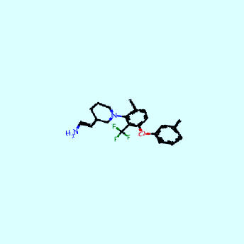 Cc1cccc(Oc2ccc(C)c(N3CCCC(/C=C/N)C3)c2C(F)(F)F)c1